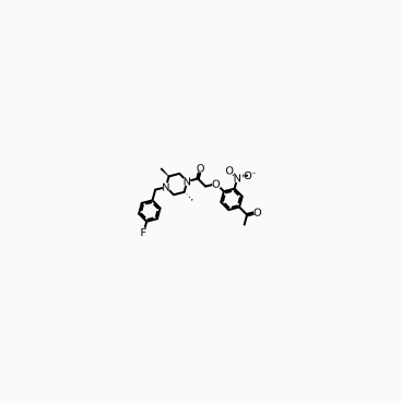 CC(=O)c1ccc(OCC(=O)N2C[C@H](C)N(Cc3ccc(F)cc3)C[C@H]2C)c([N+](=O)[O-])c1